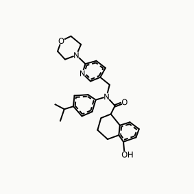 CC(C)c1ccc(N(Cc2ccc(N3CCOCC3)nc2)C(=O)C2CCCc3c(O)cccc32)cc1